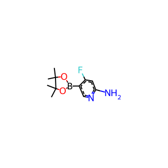 CC1(C)OB(c2cnc(N)cc2F)OC1(C)C